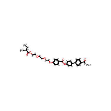 COC(=O)c1ccc(-c2ccc(OC(=O)c3ccc(OCCOCCOCCOC(=O)C(CC(C)C)C(C)C)cc3)cc2)cc1